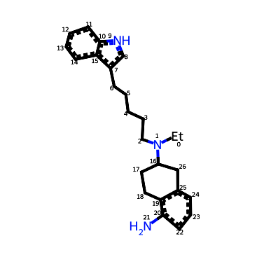 CCN(CCCCCc1c[nH]c2ccccc12)C1CCc2c(N)cccc2C1